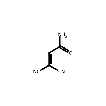 N#CC(C#N)=CC(N)=O